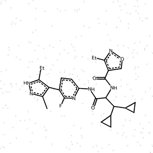 CCc1nocc1C(=O)NC(C(=O)Nc1ccc(-c2c(C)n[nH]c2CC)c(F)n1)C(C1CC1)C1CC1